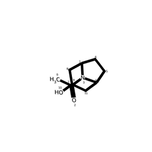 CC(=O)N1C2CCC1CC(O)C2